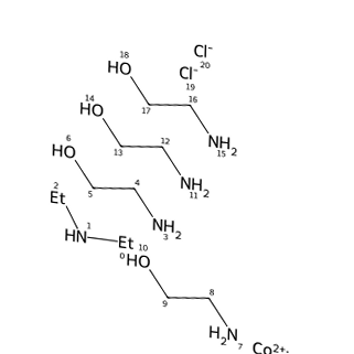 CCNCC.NCCO.NCCO.NCCO.NCCO.[Cl-].[Cl-].[Co+2]